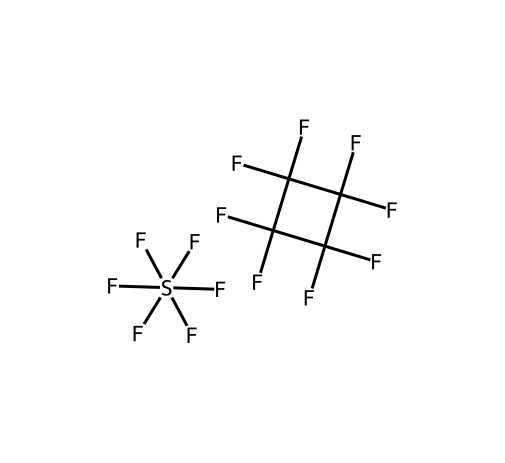 FC1(F)C(F)(F)C(F)(F)C1(F)F.FS(F)(F)(F)(F)F